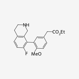 CCOC(=O)Cc1ccc(OC)c(-c2c(F)ccc3c2CNCC3)c1